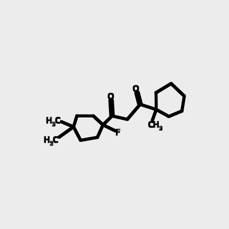 CC1(C)CCC(F)(C(=O)CC(=O)C2(C)CCCCC2)CC1